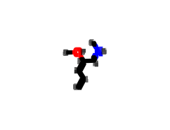 C=C/C=C(\C=N/C)OC